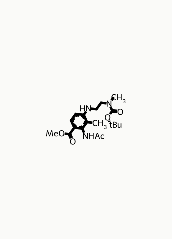 COC(=O)c1ccc(NCCN(C)C(=O)OC(C)(C)C)c(C)c1NC(C)=O